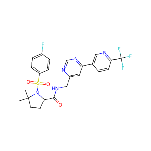 CC1(C)CCC(C(=O)NCc2cc(-c3ccc(C(F)(F)F)nc3)ncn2)N1S(=O)(=O)c1ccc(F)cc1